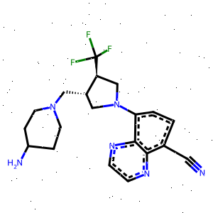 N#Cc1ccc(N2C[C@H](CN3CCC(N)CC3)[C@@H](C(F)(F)F)C2)c2nccnc12